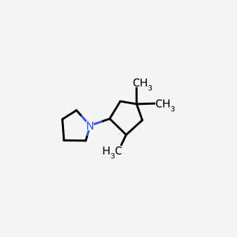 CC1CC(C)(C)CC1N1CCCC1